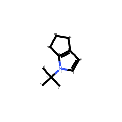 CC(C)(C)n1ccc2c1CCC2